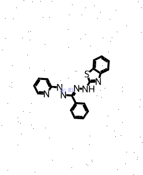 c1ccc(C(/N=N/c2ccccn2)=N\Nc2nc3ccccc3s2)cc1